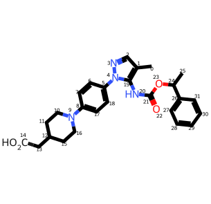 Cc1cnn(-c2ccc(N3CCC(CC(=O)O)CC3)cc2)c1NC(=O)OC(C)c1ccccc1